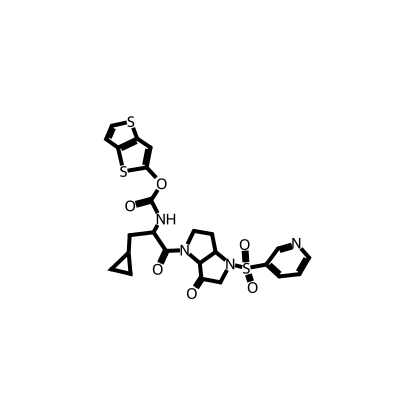 O=C(NC(CC1CC1)C(=O)N1CCC2C1C(=O)CN2S(=O)(=O)c1cccnc1)Oc1cc2sccc2s1